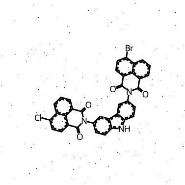 O=C1c2cccc3c(Cl)ccc(c23)C(=O)N1c1ccc2[nH]c3ccc(N4C(=O)c5cccc6c(Br)ccc(c56)C4=O)cc3c2c1